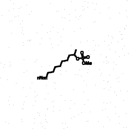 CCCCCCCCCCCCCCCCC(C)OS(=O)(=O)OC